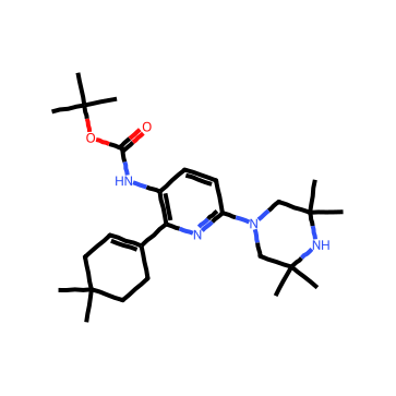 CC1(C)CC=C(c2nc(N3CC(C)(C)NC(C)(C)C3)ccc2NC(=O)OC(C)(C)C)CC1